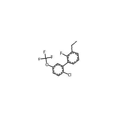 CCc1cccc(-c2cc(OC(F)(F)F)ccc2Cl)c1F